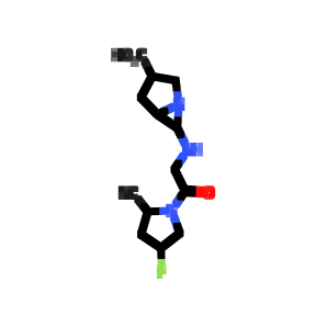 N#CC1CC(F)CN1C(=O)CNC1C2CC(C(=O)O)CN21